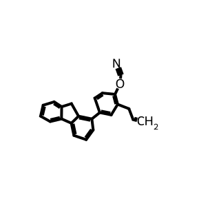 C=CCc1cc(-c2cccc3c2Cc2ccccc2-3)ccc1OC#N